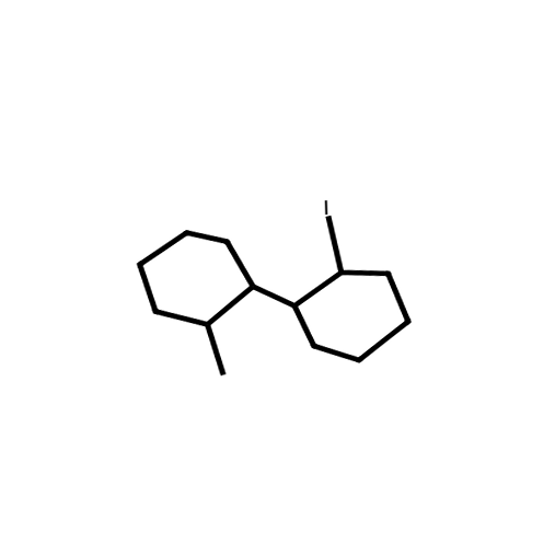 CC1CCCCC1C1CCCCC1I